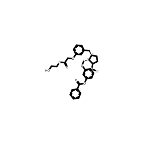 CCOC1CC[C@H](Cc2cccc(OCC(=O)OCCO)c2)[C@H]1CSc1cccc(OC(=O)c2ccccc2)c1